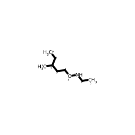 CCNOCCC(C)CC